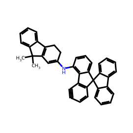 CC1(C)C2=C(CCC(Nc3cccc4c3-c3c#cccc3C43c4ccccc4-c4ccccc43)=C2)c2ccccc21